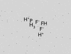 F.P.[F-].[F-].[H+].[H+]